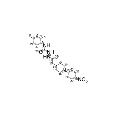 Cc1cc(C)c(NC(=O)NNC(=O)CC2=CCN(c3ccc([N+](=O)[O-])cc3)CC2)c(C)c1